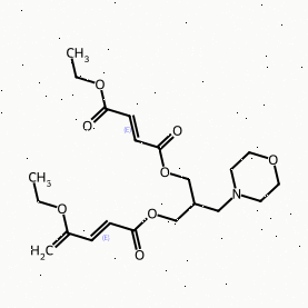 C=C(/C=C/C(=O)OCC(COC(=O)/C=C/C(=O)OCC)CN1CCOCC1)OCC